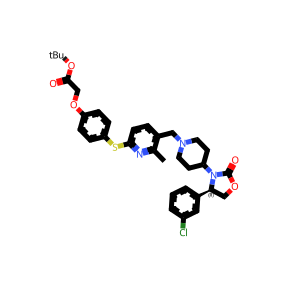 Cc1nc(Sc2ccc(OCC(=O)OC(C)(C)C)cc2)ccc1CN1CCC(N2C(=O)OC[C@H]2c2cccc(Cl)c2)CC1